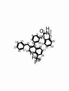 NC(=O)N(c1cccc(-c2c(Cc3ccccc3)cnc3c(C(F)(F)F)cccc23)c1)c1ccccc1F